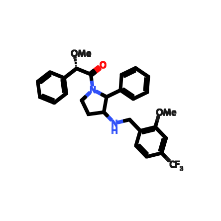 COc1cc(C(F)(F)F)ccc1CNC1CCN(C(=O)[C@@H](OC)c2ccccc2)C1c1ccccc1